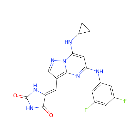 O=C1NC(=O)/C(=C/c2cnn3c(NC4CC4)cc(Nc4cc(F)cc(F)c4)nc23)N1